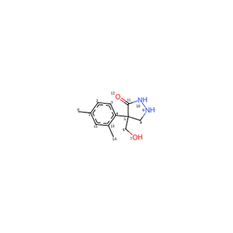 Cc1ccc(C2(CO)CNNC2=O)c(C)c1